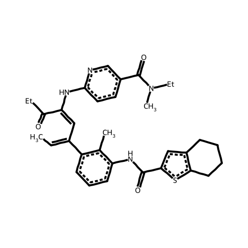 C/C=C(\C=C(\Nc1ccc(C(=O)N(C)CC)cn1)C(=O)CC)c1cccc(NC(=O)c2cc3c(s2)CCCC3)c1C